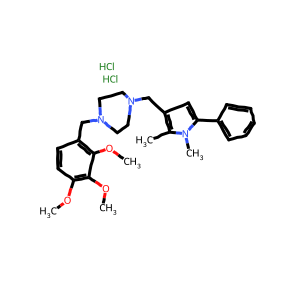 COc1ccc(CN2CCN(Cc3cc(-c4ccccc4)n(C)c3C)CC2)c(OC)c1OC.Cl.Cl